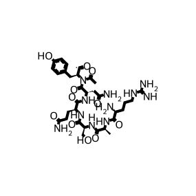 CC(=O)N(C(=O)[C@H](CC(N)=O)NC(=O)[C@H](CCC(N)=O)NC(=O)[C@H](CO)NC(=O)[C@H](C)NC(=O)[C@@H](N)CCCNC(=N)N)[C@H]([C]=O)Cc1ccc(O)cc1